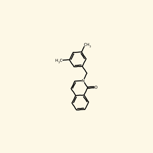 Cc1cc(C)cc(Cn2ccc3ccccc3c2=O)c1